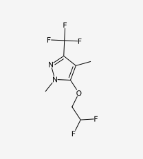 Cc1c(C(F)(F)F)nn(C)c1OCC(F)F